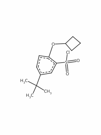 CC(C)(C)c1ccc(OC2CCC2)c(S(=O)(=O)Cl)c1